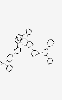 C1=CC(c2ccc3c(c2)c2ccccc2n3-c2cc(-c3cccc(-c4nc(-c5ccccc5)nc(-c5ccccc5)n4)c3)ccc2-n2c3ccccc3c3ccccc32)Cc2c1n(-c1ccccc1)c1ccccc21